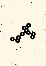 c1ccc(-c2cccc3cc(-c4ccc(N(c5ccc(-c6cccc7ccccc67)cc5)c5cccc6c5sc5ccccc56)cc4)ccc23)cc1